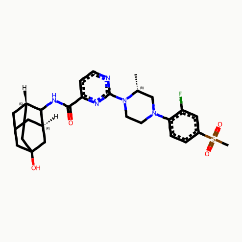 C[C@@H]1CN(c2ccc(S(C)(=O)=O)cc2F)CCN1c1nccc(C(=O)NC2[C@@H]3CC4C[C@H]2CC(O)(C4)C3)n1